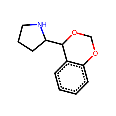 c1ccc2c(c1)OCOC2C1CCCN1